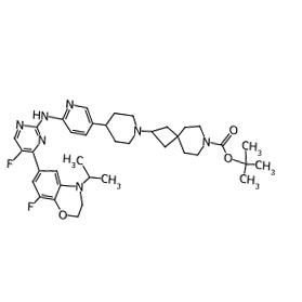 CC(C)N1CCOc2c(F)cc(-c3nc(Nc4ccc(C5CCN(C6CC7(CCN(C(=O)OC(C)(C)C)CC7)C6)CC5)cn4)ncc3F)cc21